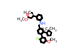 CC[C@H](CC(=O)OC)c1cccc(NCc2ccc(-c3cc(OC)ccc3F)c(C3=CCCC3(C)C)c2)c1